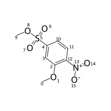 COc1cc(S(=O)(=O)OC)ccc1[N+](=O)[O-]